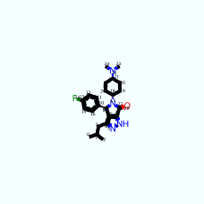 CC(C)Cc1n[nH]c2c1[C@@H](c1ccc(F)cc1)N([C@H]1CC[C@H](N(C)C)CC1)C2=O